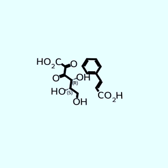 O=C(O)C(=O)C(=O)[C@H](O)[C@@H](O)CO.O=C(O)C=Cc1ccccc1